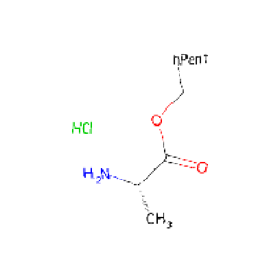 CCCCCCOC(=O)[C@H](C)N.Cl